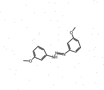 COc1cccc(/N=N/Nc2cccc(OC)c2)c1